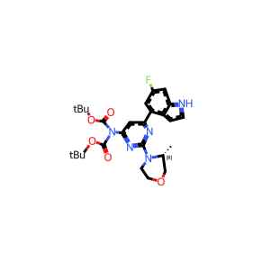 C[C@@H]1COCCN1c1nc(-c2cc(F)cc3[nH]ccc23)cc(N(C(=O)OC(C)(C)C)C(=O)OC(C)(C)C)n1